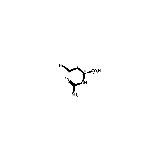 NC(=O)N[C@@H](CCS)C(=O)O